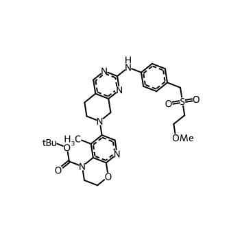 COCCS(=O)(=O)Cc1ccc(Nc2ncc3c(n2)CN(c2cnc4c(c2C)N(C(=O)OC(C)(C)C)CCO4)CC3)cc1